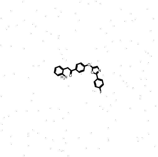 Nc1ccccc1CC(=O)c1ccc(Oc2cnc(-c3ccc(F)cc3)o2)cc1